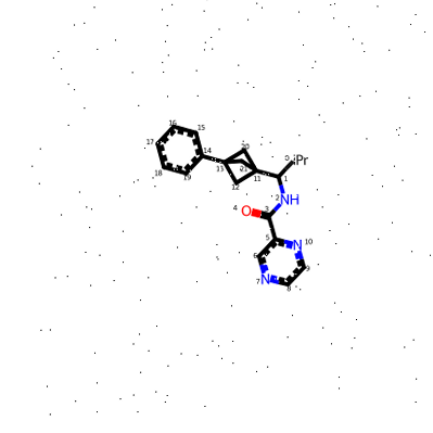 CC(C)C(NC(=O)c1cnccn1)C12CC(c3ccccc3)(C1)C2